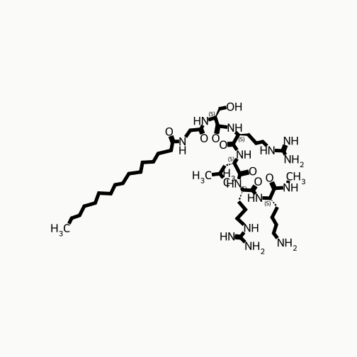 CCCCCCCCCCCCCCCC(=O)NCC(=O)N[C@@H](CO)C(=O)N[C@@H](CCCNC(=N)N)C(=O)N[C@@H](CC(C)C)C(=O)N[C@@H](CCCNC(=N)N)C(=O)N[C@@H](CCCCN)C(=O)NC